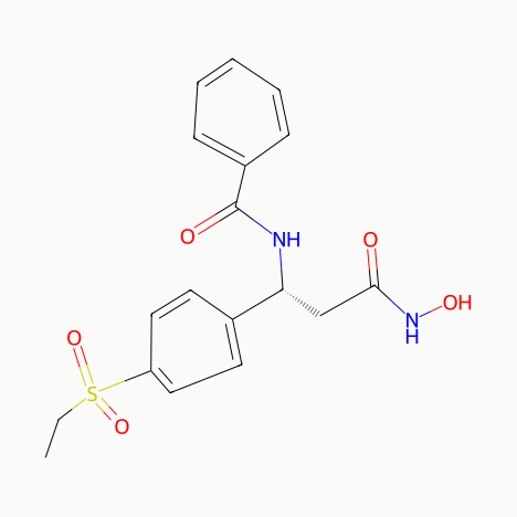 CCS(=O)(=O)c1ccc([C@@H](CC(=O)NO)NC(=O)c2ccccc2)cc1